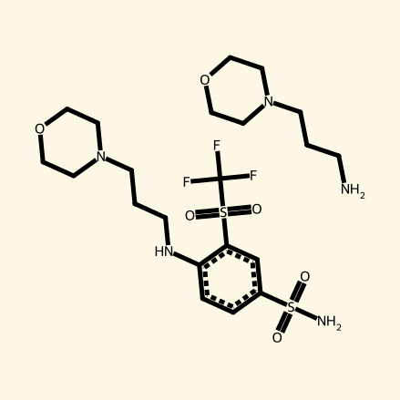 NCCCN1CCOCC1.NS(=O)(=O)c1ccc(NCCCN2CCOCC2)c(S(=O)(=O)C(F)(F)F)c1